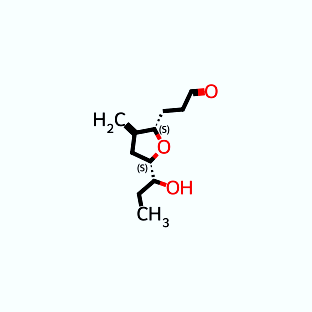 C=C1C[C@@H](C(O)CC)O[C@H]1CCC=O